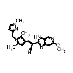 COc1cc2nc(/C(C#N)=C/c3cc(C)n(Cc4ccn(C)n4)c3C)[nH]c2cn1